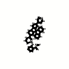 C=NC(=C)c1ccccc1SN1C=C(c2ccc3c(c2)C2(c4ccccc4-c4ccccc42)c2cc(-c4ccncc4)ccc2-3)C=CC1